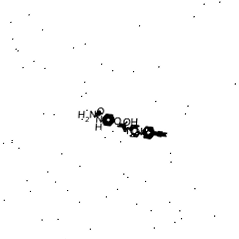 CC#Cc1ccc(N2CCN(C[C@H](O)COc3ccc(NC(N)=O)cc3)CC2)cc1